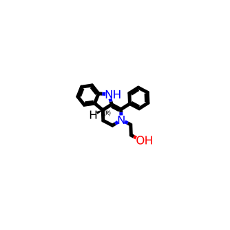 OCCN1CC[C@H]2C(=C1c1ccccc1)Nc1ccccc12